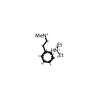 CCNCC.CNCCc1ccccc1